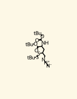 CC(C)(C)OC(=O)NC(CC(CN=[N+]=[N-])SSC(C)(C)C)C(=O)OC(C)(C)C